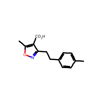 Cc1ccc(CCc2noc(C)c2C(=O)O)cc1